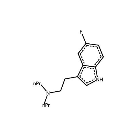 CCCN(CCC)CCc1c[nH]c2ccc(F)cc12